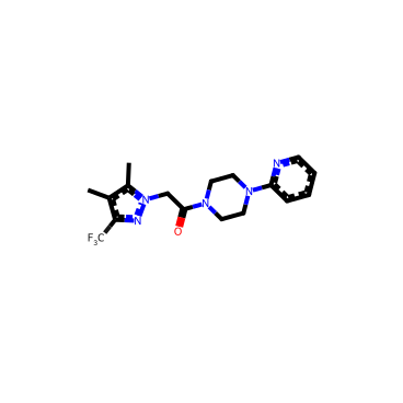 Cc1c(C(F)(F)F)nn(CC(=O)N2CCN(c3ccccn3)CC2)c1C